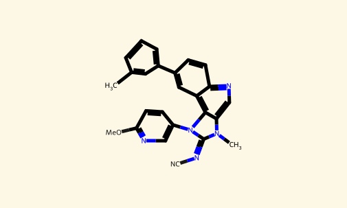 COc1ccc(-n2c(=NC#N)n(C)c3cnc4ccc(-c5cccc(C)c5)cc4c32)cn1